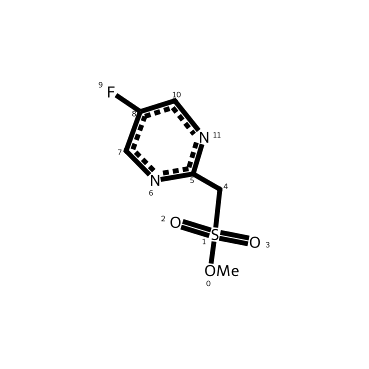 COS(=O)(=O)Cc1ncc(F)cn1